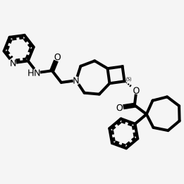 O=C(CN1CCC2C[C@H](OC(=O)C3(c4ccccc4)CCCCCC3)C2CC1)Nc1ccccn1